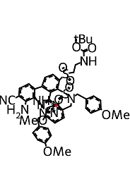 COc1ccc(CN(Cc2ccc(OC)cc2)S(=O)(=O)c2c(S(=O)(=O)CCNC(=O)OC(C)(C)C)ccc(-c3ccc(C#N)c(N)c3N)c2-c2nnn(Cc3ccc(OC)cc3)n2)cc1